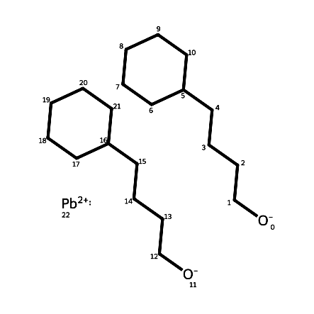 [O-]CCCCC1CCCCC1.[O-]CCCCC1CCCCC1.[Pb+2]